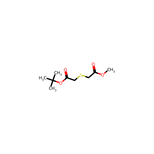 COC(=O)CSCC(=O)OC(C)(C)C